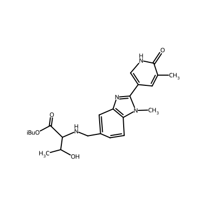 Cc1cc(-c2nc3cc(CNC(C(=O)OCC(C)C)C(C)O)ccc3n2C)c[nH]c1=O